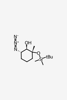 CC(C)(C)[Si](C)(C)O[C@]1(C)CCC[C@H](N=[N+]=[N-])[C@H]1O